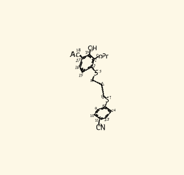 CCCc1c(SCCCSc2ccc(C#N)cc2)ccc(C(C)=O)c1O